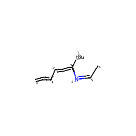 C=C/C=C(\N=C/C)C(C)(C)C